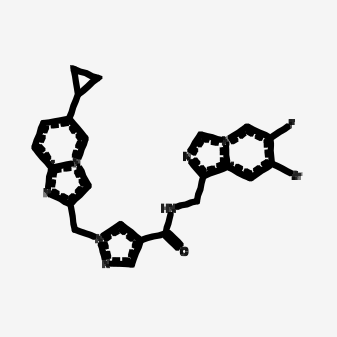 O=C(NCc1ncn2cc(F)c(Br)cc12)c1cnn(Cc2cn3cc(C4CC4)ccc3n2)c1